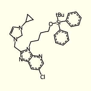 CC(C)(C)[Si](OCCCCn1c(CN2C=CN(C3CC3)C2)nc2cc(Cl)cnc21)(c1ccccc1)c1ccccc1